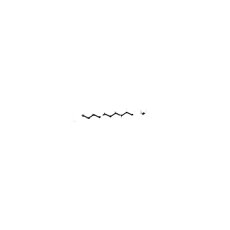 C=COCCCCCCCCCCO